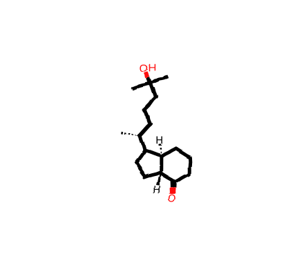 C[C@H](CCCC(C)(C)O)C1CC[C@H]2C(=O)CCC[C@H]12